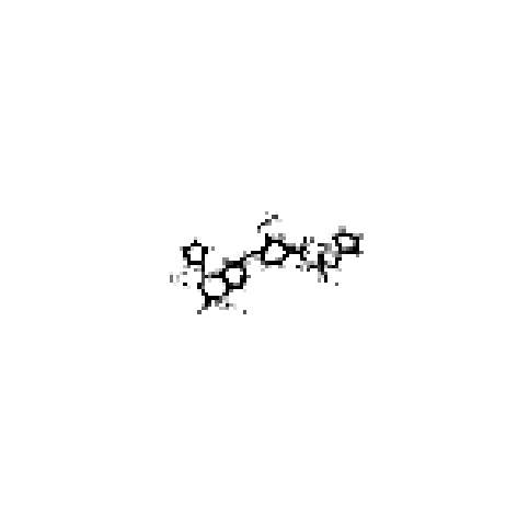 CC[C@H]1C(=O)N(C)c2ccc(Nc3ccc(C(=O)NC(C)(C)CN4CCCC4)cc3OC)cc2N1C1CCCC1